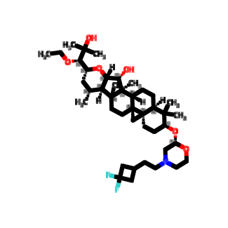 CCO[C@@H]([C@H]1C[C@@H](C)[C@H]2[C@H](O1)[C@H](O)[C@@]1(C)[C@@H]3CC[C@H]4C(C)(C)[C@@H](O[C@H]5CN(CCC6CC(F)(F)C6)CCO5)CC[C@@]45C[C@@]35CC[C@]21C)C(C)(C)O